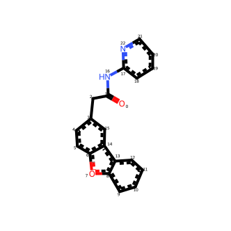 O=C(Cc1ccc2oc3ccccc3c2c1)Nc1ccccn1